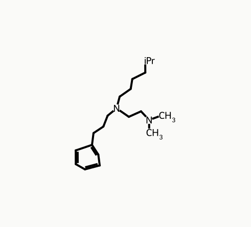 CC(C)CCCCN(CCCc1ccccc1)CCN(C)C